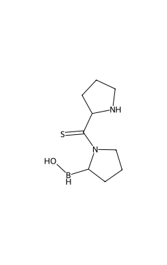 OBC1CCCN1C(=S)C1CCCN1